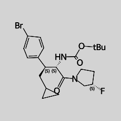 CC(C)(C)OC(=O)N[C@H](C(=O)N1CC[C@H](F)C1)[C@@H](CC1CC1)c1ccc(Br)cc1